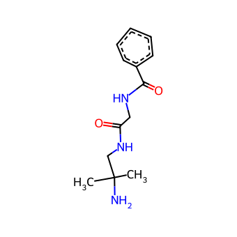 CC(C)(N)CNC(=O)CNC(=O)c1ccccc1